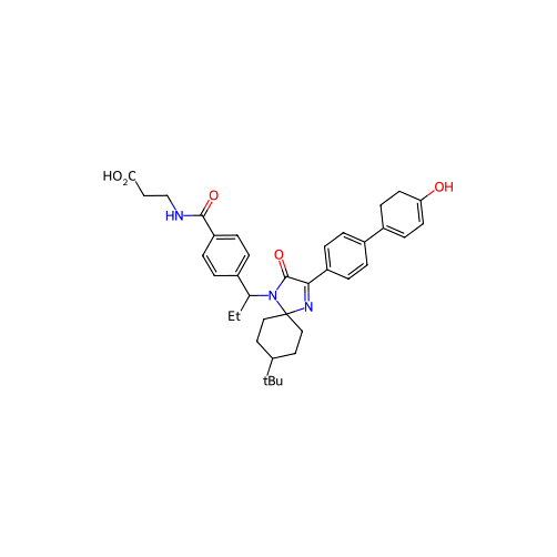 CCC(c1ccc(C(=O)NCCC(=O)O)cc1)N1C(=O)C(c2ccc(C3=CC=C(O)CC3)cc2)=NC12CCC(C(C)(C)C)CC2